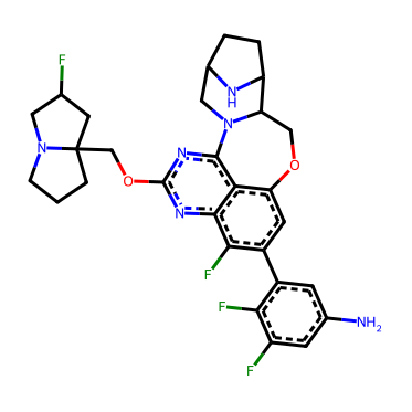 Nc1cc(F)c(F)c(-c2cc3c4c(nc(OCC56CCCN5CC(F)C6)nc4c2F)N2CC4CCC(N4)C2CO3)c1